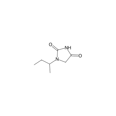 CCC(C)N1CC(=O)NC1=O